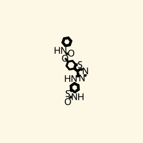 O=C(Nc1ccccc1)OC1CCc2c(sc3ncnc(Nc4ccc5[nH]c(=O)sc5c4)c23)C1